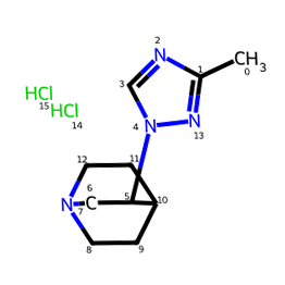 Cc1ncn(C2CN3CCC2CC3)n1.Cl.Cl